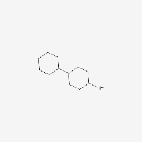 CC(C)C1CCC(C2CCCCC2)CC1